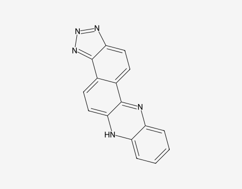 c1ccc2[nH]c3ccc4c(ccc5nnnc54)c3nc2c1